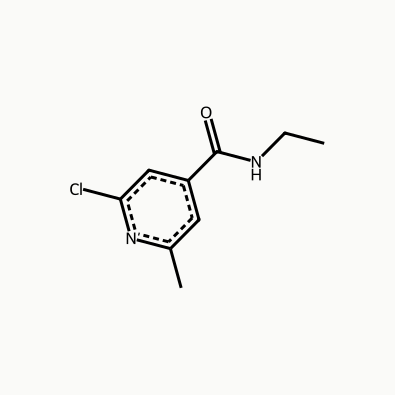 CCNC(=O)c1cc(C)nc(Cl)c1